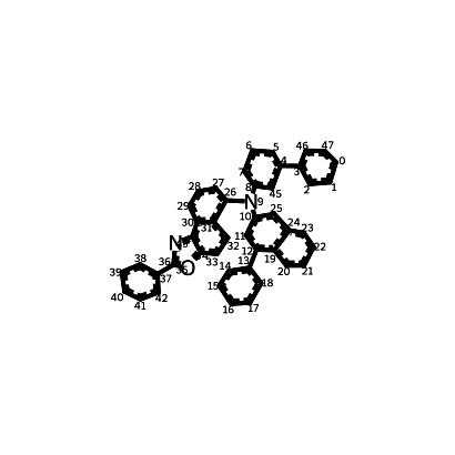 c1ccc(-c2cccc(N(c3cc(-c4ccccc4)c4ccccc4c3)c3cccc4c3ccc3oc(-c5ccccc5)nc34)c2)cc1